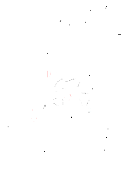 Cc1cc2cc(O)ccc2c(Oc2ccc(/C=C/C(=O)O)cc2)c1-c1ccc(F)cc1